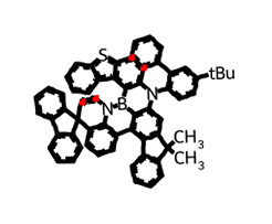 CC(C)(C)c1ccc(N2c3cc4c(c5c3B(c3c2ccc2sc6ccccc6c32)N2c3ccccc3C3(c6ccccc6-c6ccccc63)c3cccc-5c32)-c2ccccc2C4(C)C)c(-c2ccccc2)c1